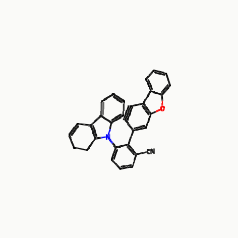 N#Cc1cccc(-n2c3c(c4ccccc42)C=CCC3)c1-c1c#cc2c(c1)oc1ccccc12